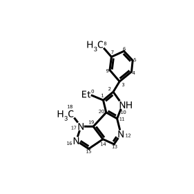 CCc1c(-c2cccc(C)c2)[nH]c2ncc3cnn(C)c3c12